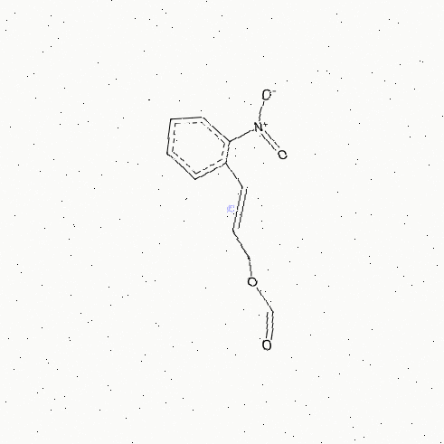 O=COC/C=C/c1ccccc1[N+](=O)[O-]